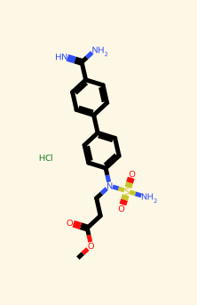 COC(=O)CCN(c1ccc(-c2ccc(C(=N)N)cc2)cc1)S(N)(=O)=O.Cl